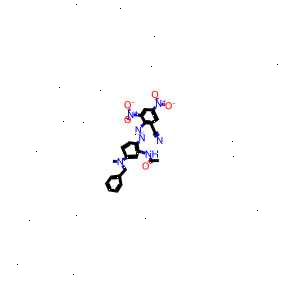 CC(=O)Nc1cc(N(C)Cc2ccccc2)ccc1/N=N/c1c(C#N)cc([N+](=O)[O-])cc1[N+](=O)[O-]